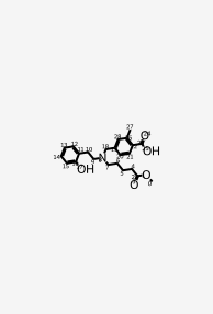 COC(=O)CCCCN(CCc1ccccc1O)Cc1ccc(C(=O)O)c(C)c1